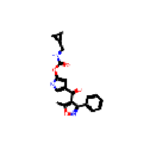 Cc1onc(-c2ccccc2)c1C(=O)c1c[nH]c(OC(=O)NCC2CC2)c1